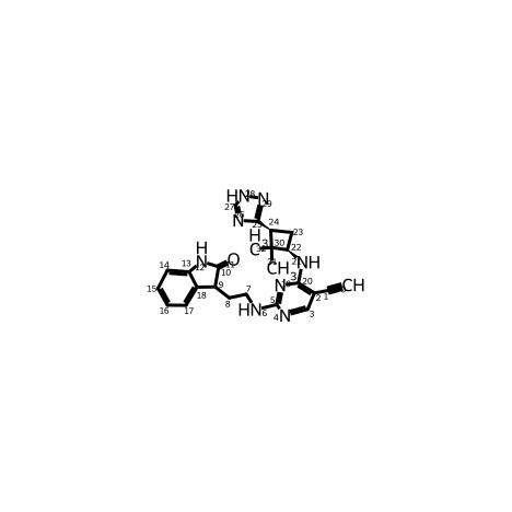 C#Cc1cnc(NCCC2C(=O)Nc3ccccc32)nc1N[C@@H]1C[C@H](c2nc[nH]n2)C1(C)C